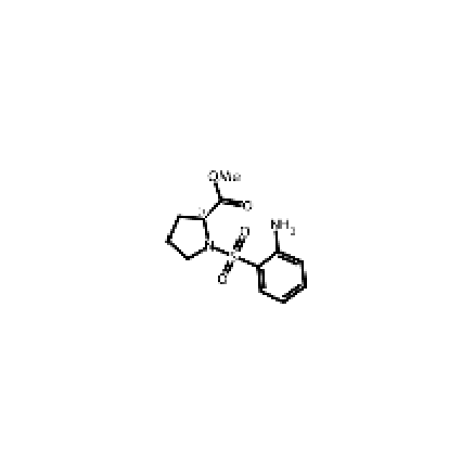 COC(=O)[C@@H]1CCCN1S(=O)(=O)c1ccccc1N